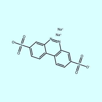 O=S(=O)([O-])c1ccc2c(c1)nnc1cc(S(=O)(=O)[O-])ccc12.[Na+].[Na+]